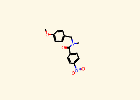 COc1ccc(CN(C)C(=O)c2ccc([N+](=O)[O-])cc2)cc1